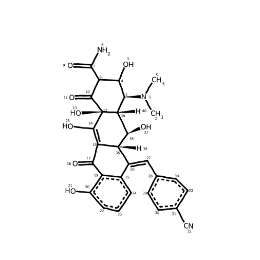 CN(C)[C@@H]1C(O)C(C(N)=O)C(=O)[C@@]2(O)C(O)=C3C(=O)c4c(O)cccc4/C(=C\c4ccc(C#N)cc4)[C@H]3[C@H](O)[C@@H]12